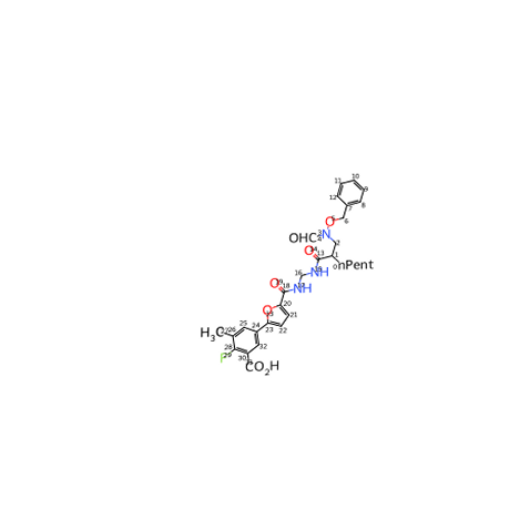 CCCCCC(CN(C=O)OCc1ccccc1)C(=O)NCNC(=O)c1ccc(-c2cc(C)c(F)c(C(=O)O)c2)o1